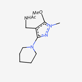 COc1c(CNC(C)=O)c(N2CCCCC2)nn1C